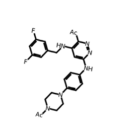 CC(=O)c1nnc(Nc2ccc(N3CCN(C(C)=O)CC3)cc2)cc1NCc1cc(F)cc(F)c1